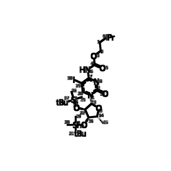 CC(C)CCOC(=O)Nc1nc(=O)n([C@@H]2O[C@H](C)[C@@H](O[Si](C)(C)C(C)(C)C)[C@H]2O[Si](C)(C)C(C)(C)C)cc1I